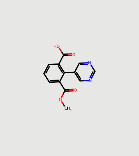 COC(=O)c1cccc(C(=O)O)c1-c1cncnc1